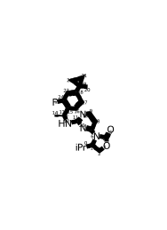 CC(C)C1COC(=O)N1c1ccnc(N[C@@H](C)c2ccc(C3(C)CC3)cc2F)n1